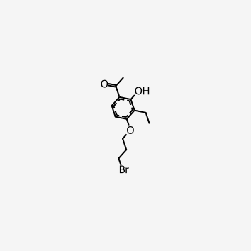 CCc1c(OCCCBr)ccc(C(C)=O)c1O